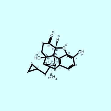 C[N@@+]1(CC2CC2)CC[C@]23c4c5ccc(O)c4O[C@H]2C(=O)CC[C@@]3(O)C1C5